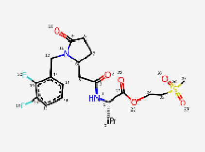 CC(C)[C@H](NC(=O)C[C@@H]1CCC(=O)N1Cc1cccc(F)c1F)C(=O)OCCS(C)(=O)=O